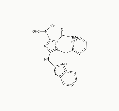 CCCN(C=O)c1nc(Nc2nc3ccccc3[nH]2)n(Cc2ccccc2)c1C(=O)NC